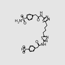 NS(=O)(=O)c1ccc(CC(=O)Nc2nnc(CCCCc3nnc(NC(=O)Cc4ccc([SH](=O)=O)cc4)s3)s2)cc1